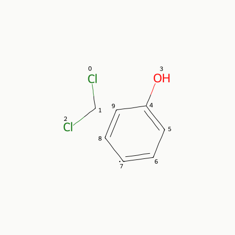 ClCCl.Oc1cc[c]cc1